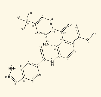 COC(=O)c1ccc(NC(=O)c2ccc3cn[nH]c3c2)c(N)c1C(=O)c1ccc(C(C)(C)C)cc1